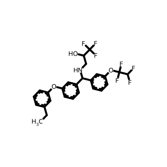 CCc1cccc(Oc2cccc(C(NCC(O)C(F)(F)F)c3cccc(OC(F)(F)C(F)F)c3)c2)c1